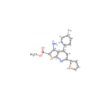 COC(=O)c1sc2nc(-c3cccs3)cc(-c3ccc(F)cc3)c2c1N